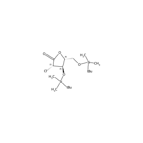 CC(C)(C)[Si](C)(C)OC[C@H]1OC(=O)[C@@H](Cl)[C@@H]1O[Si](C)(C)C(C)(C)C